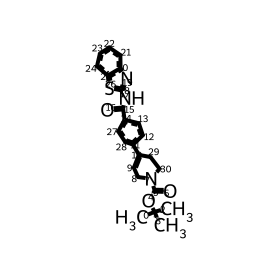 CC(C)(C)OC(=O)N1CC=C(c2ccc(C(=O)Nc3nc4ccccc4s3)cc2)CC1